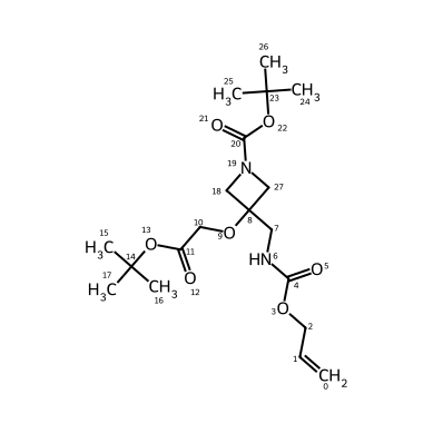 C=CCOC(=O)NCC1(OCC(=O)OC(C)(C)C)CN(C(=O)OC(C)(C)C)C1